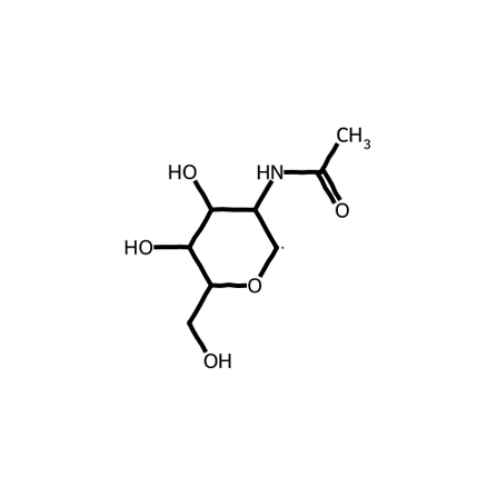 CC(=O)NC1[CH]OC(CO)C(O)C1O